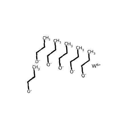 CCC[O-].CCC[O-].CCC[O-].CCC[O-].CCC[O-].CCC[O-].[W+6]